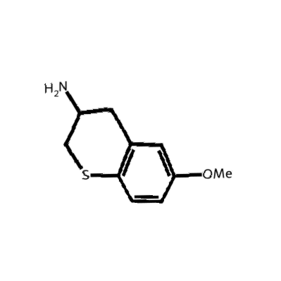 COc1ccc2c(c1)CC(N)CS2